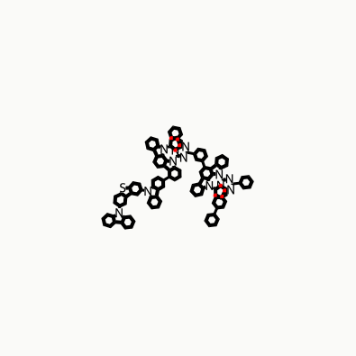 c1ccc(-c2ccc(-c3nc(-c4ccccc4)nc(-n4c5ccccc5c5c(-c6cccc(-c7nc(-c8ccccc8)nc(-n8c9cccc(-c%10ccc%11c(c%10)c%10ccccc%10n%11-c%10ccc%11sc%12ccc(-n%13c%14ccccc%14c%14ccccc%14%13)cc%12c%11c%10)c9c9ccc%10c%11ccccc%11n(-c%11ccccc%11)c%10c98)n7)c6)cc6c7ccccc7n(-c7ccccc7)c6c54)n3)cc2)cc1